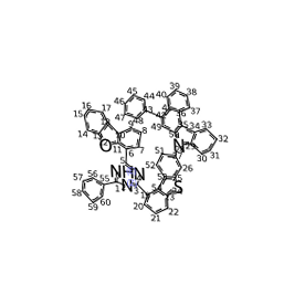 N=C(/N=C(\N=C\c1cccc2c1oc1ccccc12)c1cccc2sc3cc(-n4c5ccccc5c5c6ccccc6c(-c6ccccc6)cc54)ccc3c12)c1ccccc1